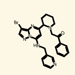 O=C(CN1CCCCC1c1cc(NCc2cccnc2)n2ncc(Br)c2n1)c1ccccc1